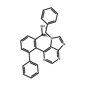 NC(=O)c1cccc(-c2ccccc2)c1-c1ncnc2ncn(Cc3ccccc3)c12